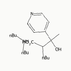 CCCCC(C(=O)O)C(C)(O)c1ccncc1.CCCCNCCCC